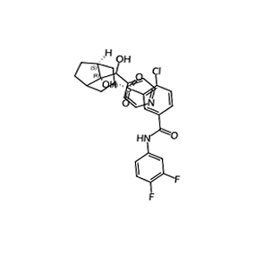 O=C(Nc1ccc(F)c(F)c1)c1ccc(Cl)c(S(=O)(=O)[C@@H]2CC3CC[C@@H](C2)[C@@]3(O)C(O)c2ccncc2)c1